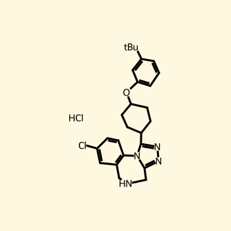 CC(C)(C)c1cccc(OC2CCC(c3nnc4n3-c3ccc(Cl)cc3CNC4)CC2)c1.Cl